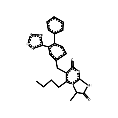 CCCCc1c(Cc2ccc(-c3ccccc3)c(-c3nnn[nH]3)c2)c(=O)nc2n1C(C)C(=O)N2